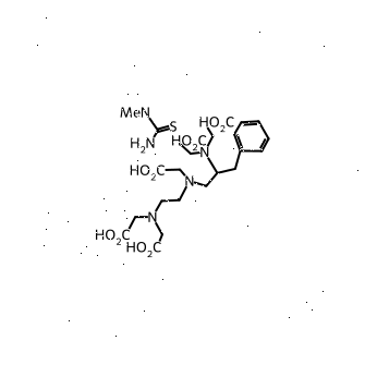 CNC(N)=S.O=C(O)CN(CCN(CC(=O)O)CC(Cc1ccccc1)N(CC(=O)O)CC(=O)O)CC(=O)O